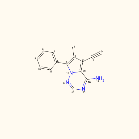 C#Cc1c(C)c(-c2ccccc2)n2ncnc(N)c12